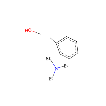 CCN(CC)CC.CO.Cc1ccccc1